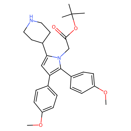 COc1ccc(-c2cc(C3CCNCC3)n(CC(=O)OC(C)(C)C)c2-c2ccc(OC)cc2)cc1